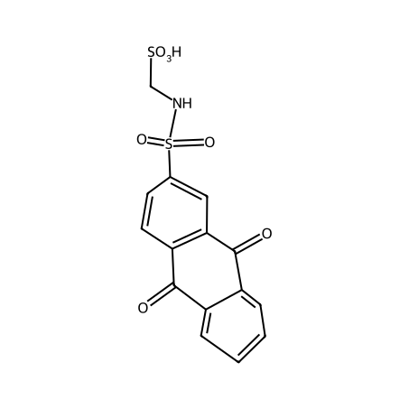 O=C1c2ccccc2C(=O)c2cc(S(=O)(=O)NCS(=O)(=O)O)ccc21